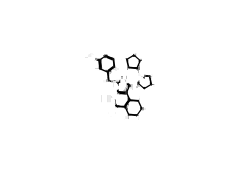 O=c1[nH]c2c(c([C@H]3CCCN3C3CCCC3)nn2Cc2cccc(O)c2)c2c1CCCC2